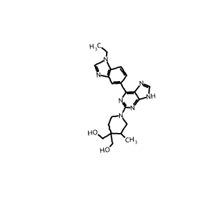 CCn1cnc2cc(-c3nc(N4CCC(CO)(CO)C(C)C4)nc4[nH]cnc34)ccc21